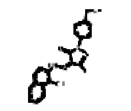 CC1=NN(c2ccc(CO)cc2)C(=O)C1=NNc1ccc2ccccc2c1O